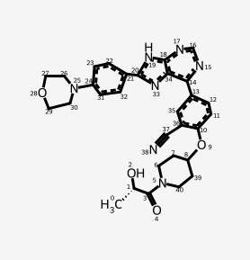 C[C@H](O)C(=O)N1CCC(Oc2ccc(-c3ncnc4[nH]c(-c5ccc(N6CCOCC6)cc5)nc34)cc2C#N)CC1